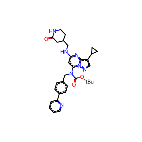 CC(C)(C)OC(=O)N(Cc1ccc(-c2ccccn2)cc1)c1cc(NCC2CCNC(=O)C2)nc2c(C3CC3)cnn12